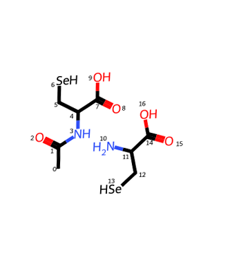 CC(=O)NC(C[SeH])C(=O)O.NC(C[SeH])C(=O)O